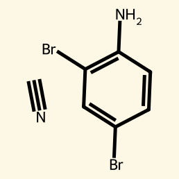 C#N.Nc1ccc(Br)cc1Br